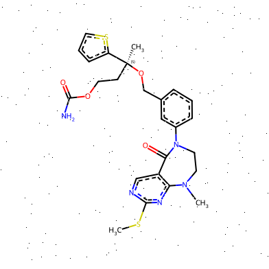 CSc1ncc2c(n1)N(C)CCN(c1cccc(CO[C@@](C)(CCOC(N)=O)c3cccs3)c1)C2=O